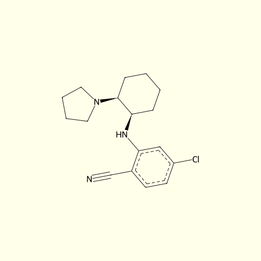 N#Cc1ccc(Cl)cc1N[C@@H]1CCCC[C@@H]1N1CCCC1